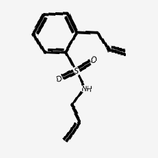 C=CCNS(=O)(=O)c1ccccc1CC=C